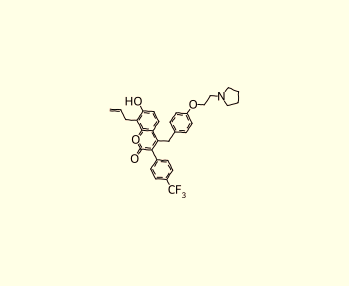 C=CCc1c(O)ccc2c(Cc3ccc(OCCN4CCCC4)cc3)c(-c3ccc(C(F)(F)F)cc3)c(=O)oc12